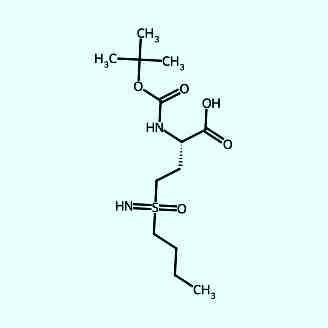 CCCCS(=N)(=O)CC[C@H](NC(=O)OC(C)(C)C)C(=O)O